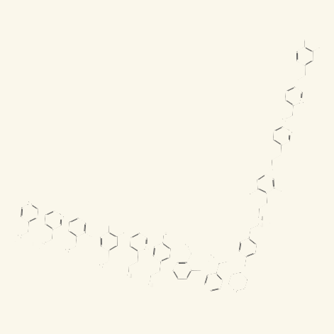 C1CCNCC1.CC(N)c1ccccc1.Cc1ccc(CN)cc1.Cc1ccccc1CN.NCCc1c(Cl)cccc1Cl.NCCc1ccc(Br)cc1.NCCc1ccccn1.NCCc1cccnc1.NCc1ccc(F)c(F)c1.NCc1ccccc1Cl.NCc1ccccn1.NCc1cccnc1.NCc1ccncc1.[CH2]Cc1ccc(Cl)c(Cl)c1